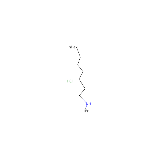 CCCCCCCCCCCCNC(C)C.Cl